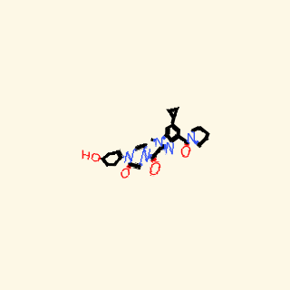 Cn1c(C(=O)N2CCN([C@H]3CC[C@H](O)CC3)C(=O)C2)nc2c(C(=O)N3CCCCC3)cc(C3CC3)cc21